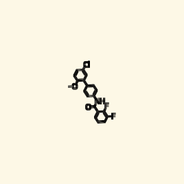 COc1ccc(Cl)cc1-c1ccc(NC(=O)c2cccc(F)c2F)cc1